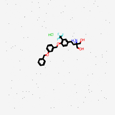 Cl.NC(CO)(CO)CCc1ccc(OCc2cccc(OCc3ccccc3)c2)c(C(F)(F)F)c1